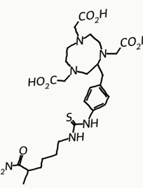 CC(CCCCNC(=S)Nc1ccc(CC2CN(CC(=O)O)CCN(CC(=O)O)CCN2CC(=O)O)cc1)C(N)=O